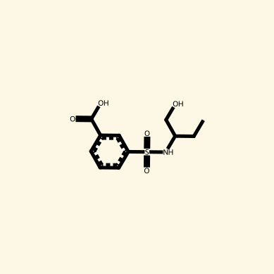 CCC(CO)NS(=O)(=O)c1cccc(C(=O)O)c1